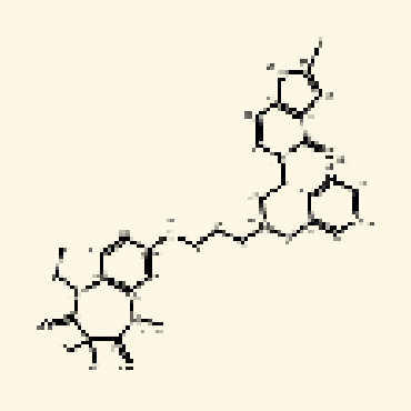 CCN1C(=O)C(C)(C)C(=O)N(C)c2cc(OCCCN(CCn3ccc4oc(C)cc4c3=O)Cc3cncnc3)ccc21